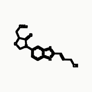 COCC1OCN(c2ccc3nc(C=CCC#N)sc3c2)C1=O